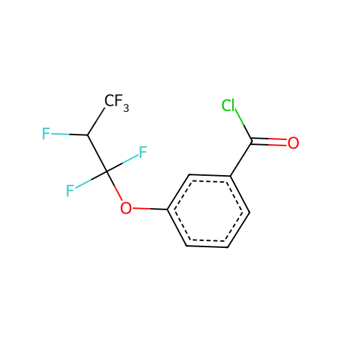 O=C(Cl)c1cccc(OC(F)(F)C(F)C(F)(F)F)c1